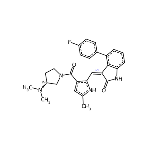 Cc1cc(C(=O)N2CC[C@H](N(C)C)C2)c(/C=C2\C(=O)Nc3cccc(-c4ccc(F)cc4)c32)[nH]1